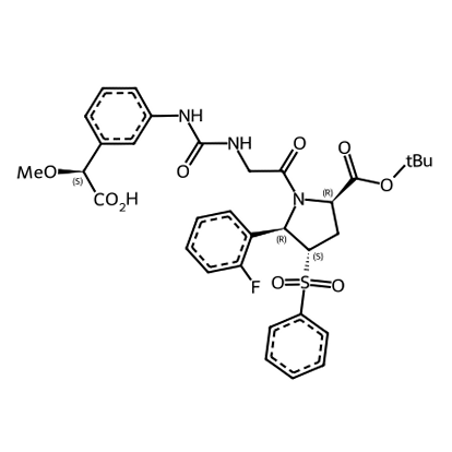 CO[C@H](C(=O)O)c1cccc(NC(=O)NCC(=O)N2[C@@H](C(=O)OC(C)(C)C)C[C@H](S(=O)(=O)c3ccccc3)[C@H]2c2ccccc2F)c1